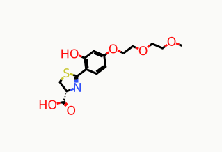 COCCOCCOc1ccc(C2=N[C@H](C(=O)O)CS2)c(O)c1